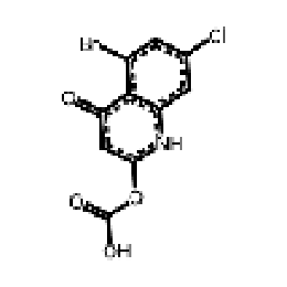 O=C(O)Oc1cc(=O)c2c(Br)cc(Cl)cc2[nH]1